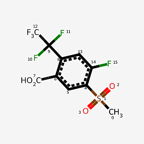 CS(=O)(=O)c1cc(C(=O)O)c(C(F)(F)C(F)(F)F)cc1F